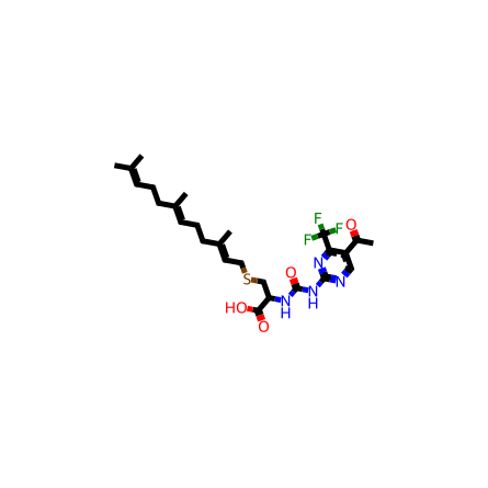 CC(=O)c1cnc(NC(=O)NC(CSC/C=C(\C)CC/C=C(\C)CCC=C(C)C)C(=O)O)nc1C(F)(F)F